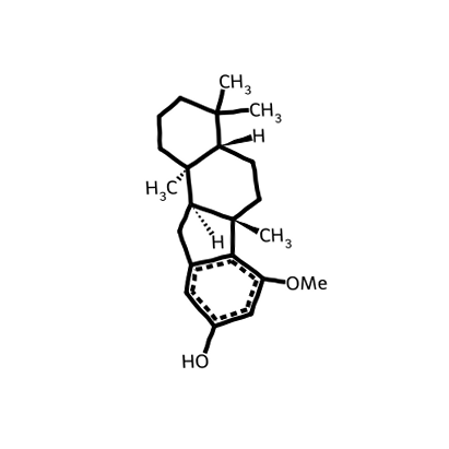 COc1cc(O)cc2c1[C@@]1(C)CC[C@H]3C(C)(C)CCC[C@]3(C)[C@@H]1C2